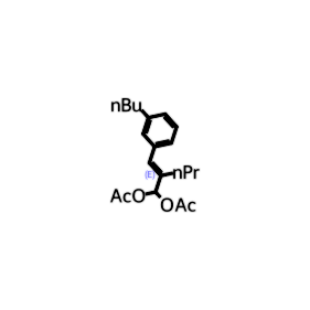 CCCCc1cccc(/C=C(\CCC)C(OC(C)=O)OC(C)=O)c1